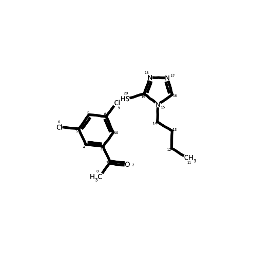 CC(=O)c1cc(Cl)cc(Cl)c1.CCCCn1cnnc1S